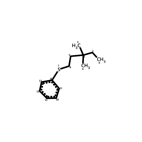 CCC(C)(C)CCSc1ccccc1